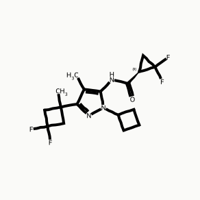 Cc1c(C2(C)CC(F)(F)C2)nn(C2CCC2)c1NC(=O)[C@H]1CC1(F)F